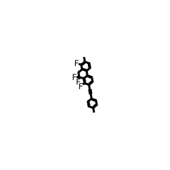 Cc1ccc(C#Cc2ccc3c(c2F)C(F)(F)Cc2c-3ccc(C)c2F)cc1